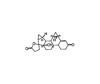 C[C@]12CCC3C4CCC(=O)C=C4[C@@H]4C[C@@H]4C3C1[C@H]1CC1C21CCC(=O)O1